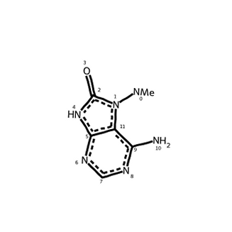 CNn1c(=O)[nH]c2ncnc(N)c21